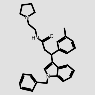 Cc1cccc(C(CC(=O)NCCN2CCCC2)c2cn(Cc3ccccc3)c3ccccc23)c1